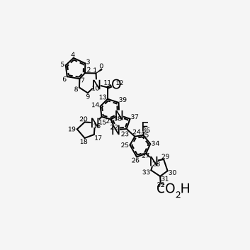 C[C@@H]1c2ccccc2CCN1C(=O)c1cc(N2CCCC2)c2nc(-c3ccc(N4CCC(C(=O)O)C4)cc3F)cn2c1